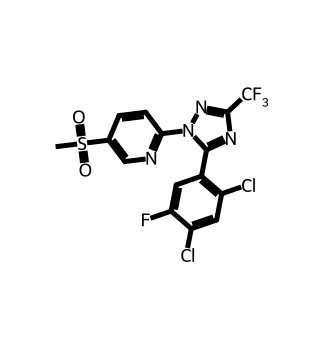 CS(=O)(=O)c1ccc(-n2nc(C(F)(F)F)nc2-c2cc(F)c(Cl)cc2Cl)nc1